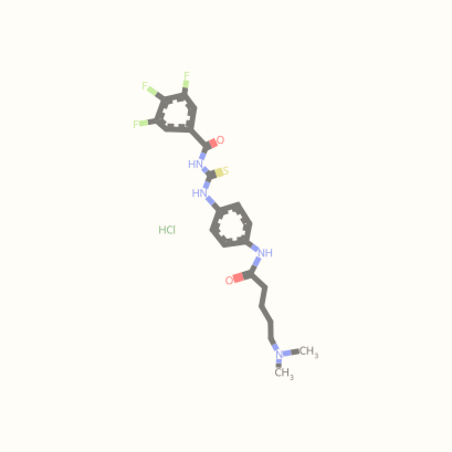 CN(C)CCCCC(=O)Nc1ccc(NC(=S)NC(=O)c2cc(F)c(F)c(F)c2)cc1.Cl